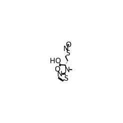 CN(c1nccs1)[C@@H](CCSN=O)C(=O)O